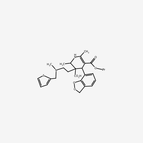 CC1=C(C(=O)OC(C)C)C(c2cccc3c2OOC3)C(CCN(C)Cc2cccs2)(C(=O)O)C(C)N1